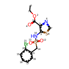 CCOC(=O)c1ncsc1NS(=O)(=O)Cc1ccccc1Br